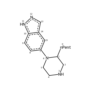 CCCCCC1CNCCN1c1ccc2[nH]ncc2c1